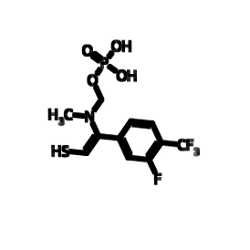 CN(COP(=O)(O)O)/C(=C\S)c1ccc(C(F)(F)F)c(F)c1